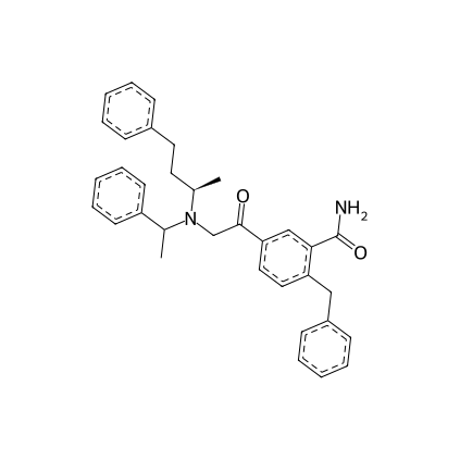 CC(c1ccccc1)N(CC(=O)c1ccc(Cc2ccccc2)c(C(N)=O)c1)[C@H](C)CCc1ccccc1